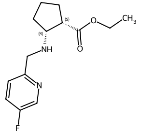 CCOC(=O)[C@H]1CCC[C@H]1NCc1ccc(F)cn1